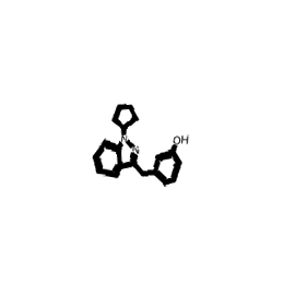 Oc1cccc(Cc2nn(C3CCCC3)c3ccccc23)c1